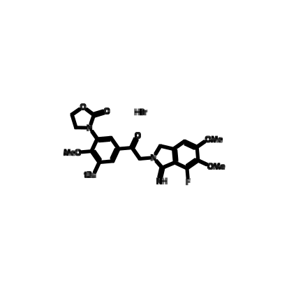 Br.COc1cc2c(c(F)c1OC)C(=N)N(CC(=O)c1cc(N3CCOC3=O)c(OC)c(C(C)(C)C)c1)C2